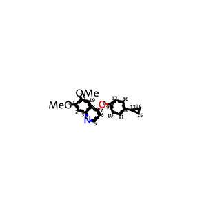 COc1cc2nccc(Oc3ccc(C4CC4)cc3)c2cc1OC